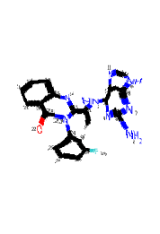 CC(Nc1nc(N)nc2[nH]cnc12)c1nc2ccccc2c(=O)n1-c1cccc(F)c1